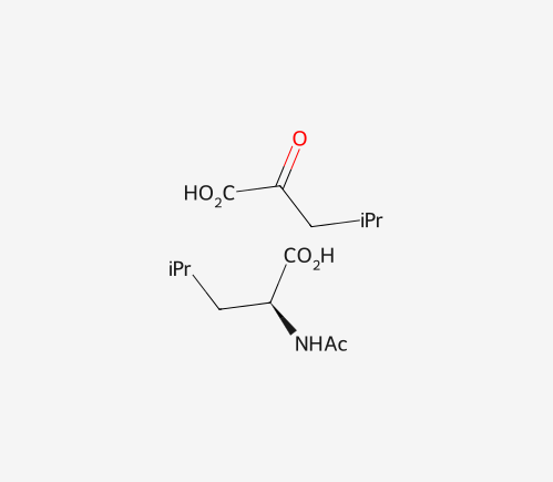 CC(=O)N[C@@H](CC(C)C)C(=O)O.CC(C)CC(=O)C(=O)O